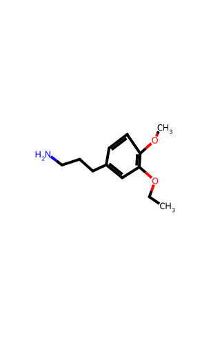 CCOc1cc(CCCN)ccc1OC